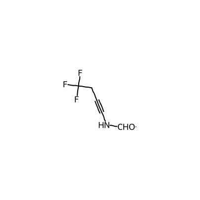 O=[C]NC#CCC(F)(F)F